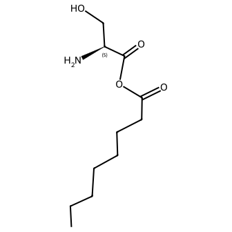 CCCCCCCC(=O)OC(=O)[C@@H](N)CO